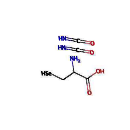 N=C=O.N=C=O.NC(C[SeH])C(=O)O